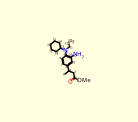 COC(=O)CC(C)c1ccc(N(CC(C)C)C2CCCCC2)c(N)c1